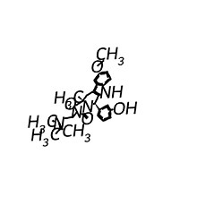 CCOc1ccc2[nH]c3c(c2c1)C[C@@]1(C)C(=O)N(CCN(C)C(C)C)C(=O)N1[C@@H]3c1cccc(O)c1